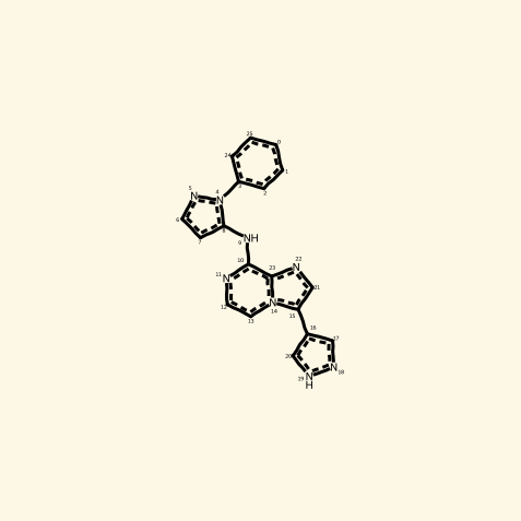 c1ccc(-n2nccc2Nc2nccn3c(-c4cn[nH]c4)cnc23)cc1